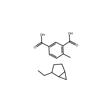 CCC1CCC2CC12.Cc1ccc(C(=O)O)cc1C(=O)O